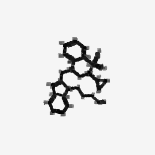 N#CCCCn1c(CN2CN(C3CC3)S(=O)(=O)c3ccccc32)nc2ccccc21